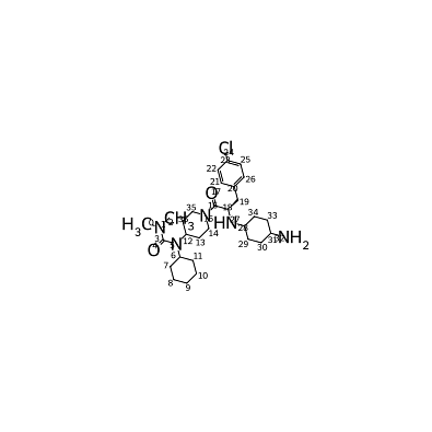 CN(C)C(=O)N(C1CCCCC1)C1CCN(C(=O)[C@@H](Cc2ccc(Cl)cc2)NC2CCC(N)CC2)CC1